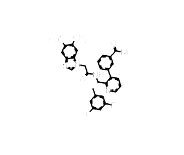 Cc1cc2ncn(CC(=O)N[C@@H](Cc3cc(F)cc(F)c3)c3ncccc3-c3cccc(C(N)=O)c3)c2cc1C